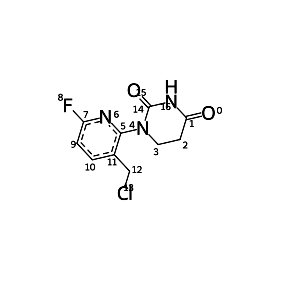 O=C1CCN(c2nc(F)ccc2CCl)C(=O)N1